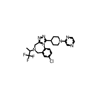 CC(N1Cc2cc(Cl)ccc2-n2c(nnc2C2CCN(c3cnccn3)CC2)C1)C(F)(F)F